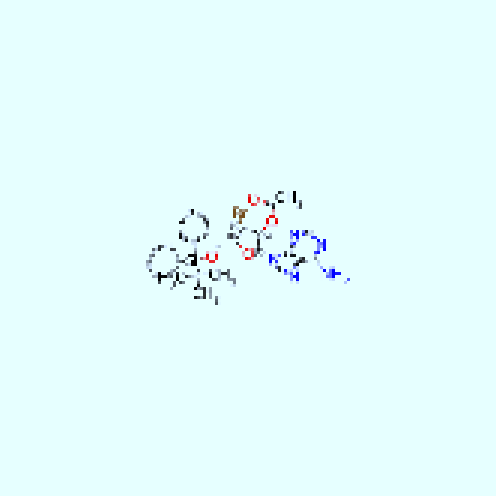 CC(=O)O[C@@H]1[C@H](Br)[C@@H](CO[Si](c2ccccc2)(c2ccccc2)C(C)(C)C)O[C@H]1n1cnc2c(N)ncnc21